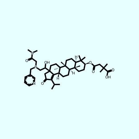 CC(C)C1=C2[C@H]3CC[C@@H]4[C@@]5(C)CC[C@H](OC(=O)CC(C)(C)C(=O)O)C(C)(C)[C@@H]5CC[C@@]4(C)[C@]3(C)CCC2(C(O)CN(CC(=O)N(C)C)Cc2cccnc2)CC1=O